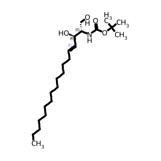 CCCCCCCCCCCCC/C=C/[C@@H](O)[C@H](CO)NC(=O)OC(C)(C)C